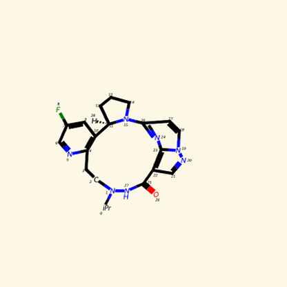 CC(C)N1CCc2ncc(F)cc2[C@H]2CCCN2c2ccn3ncc(c3n2)C(=O)N1